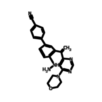 C=C(c1cc(N2CCOCC2)ncn1)c1cc(-c2ccc(C#N)cc2)ccc1NN